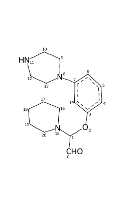 O=CC(Oc1cccc(N2CCNCC2)c1)N1CCCCC1